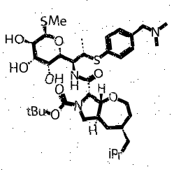 CS[C@H]1O[C@H]([C@H](NC(=O)[C@@H]2[C@@H]3OCC[C@@H](CC(C)C)C[C@H]3CN2C(=O)OC(C)(C)C)[C@H](C)Sc2ccc(CN(C)C)cc2)[C@H](O)[C@H](O)[C@H]1O